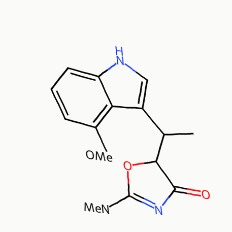 CNC1=NC(=O)C(C(C)c2c[nH]c3cccc(OC)c23)O1